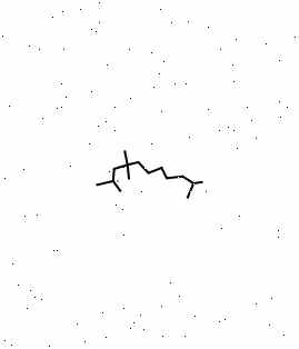 C[C](C)CC(C)(C)CCCCCC(C)C